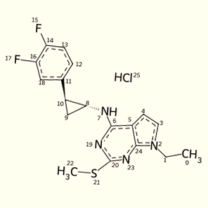 CCn1ccc2c(N[C@@H]3C[C@H]3c3ccc(F)c(F)c3)nc(SC)nc21.Cl